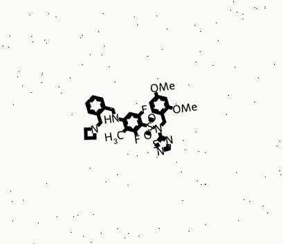 COc1ccc(CN(c2ncns2)S(=O)(=O)c2c(F)cc(NCc3ccccc3CN3CCC3)c(C)c2F)c(OC)c1